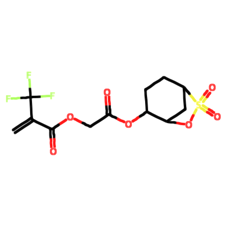 C=C(C(=O)OCC(=O)OC1CCC2CC1OS2(=O)=O)C(F)(F)F